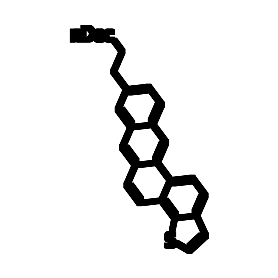 CCCCCCCCCCCCc1ccc2cc3c(ccc4c3ccc3ccsc34)cc2c1